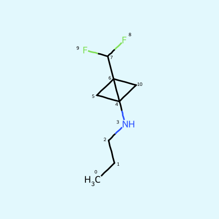 CCCNC12CC1(C(F)F)C2